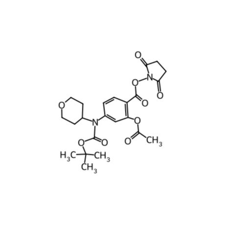 CC(=O)Oc1cc(N(C(=O)OC(C)(C)C)C2CCOCC2)ccc1C(=O)ON1C(=O)CCC1=O